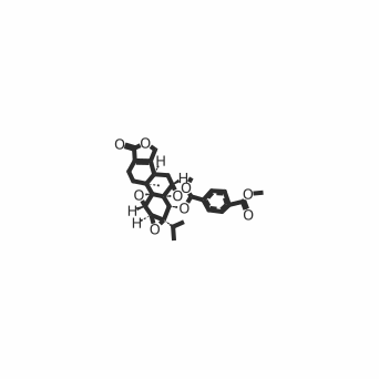 COC(=O)c1ccc(C(OC)O[C@@H]2[C@@]3(C(C)C)O[C@H]3[C@@H]3O[C@]34[C@]23O[C@H]3C[C@@H]2C3=C(CC[C@@]24C)C(=O)OC3)cc1